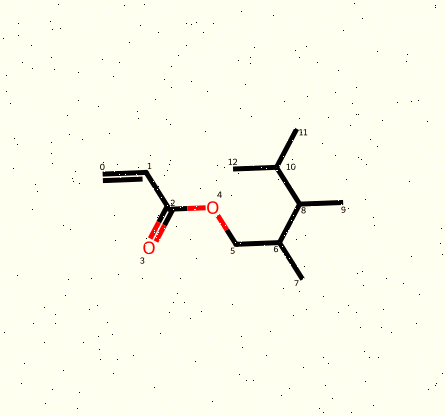 C=CC(=O)OCC(C)C(C)C(C)C